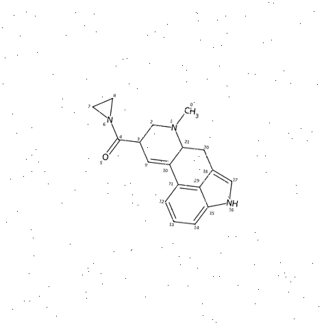 CN1CC(C(=O)N2CC2)C=C2c3cccc4[nH]cc(c34)CC21